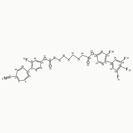 N#CC1=CC=C=C(c2ccc(OC(=O)CCCCCCCC(=O)Oc3ccc(-c4cc(F)c(F)c(F)c4)c(F)c3)cc2F)C=C1